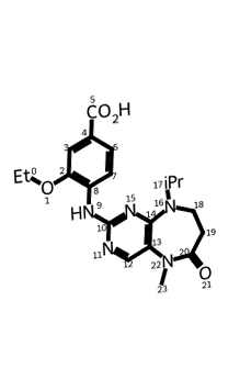 CCOc1cc(C(=O)O)ccc1Nc1ncc2c(n1)N(C(C)C)CCC(=O)N2C